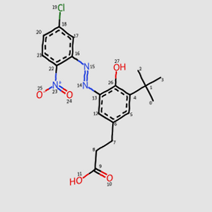 CC(C)(C)c1cc(CCC(=O)O)cc(N=Nc2cc(Cl)ccc2[N+](=O)[O-])c1O